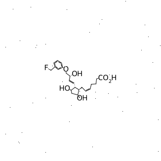 O=C(O)CCC/C=C\C[C@@H]1[C@@H](/C=C/[C@@H](O)COc2cccc(CF)c2)[C@H](O)C[C@@H]1O